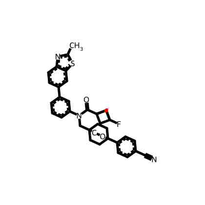 Cc1nc2ccc(-c3cccc(N(CC45CCC(c6ccc(C#N)cc6)(CC4)OC5)C(=O)C45CC(F)(C4)C5)c3)cc2s1